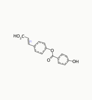 O=C(O)/C=C/c1ccc(OC(=O)c2ccc(O)cc2)cc1